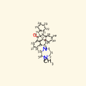 CN1CCCN(c2ccc3c4c(cccc24)C(=O)C3(Cc2ccccc2)Cc2ccccc2)CC1